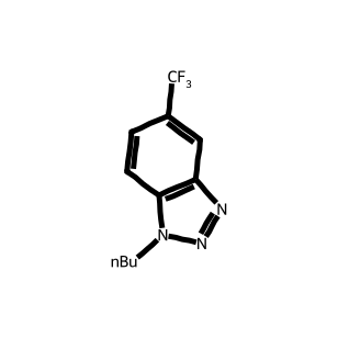 CCCCn1nnc2cc(C(F)(F)F)ccc21